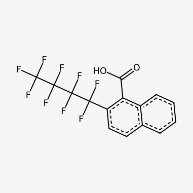 O=C(O)c1c(C(F)(F)C(F)(F)C(F)(F)C(F)(F)F)ccc2ccccc12